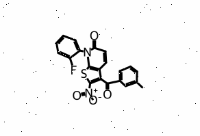 Cc1cccc(C(=O)c2c([N+](=O)[O-])sc3c2ccc(=O)n3-c2ccccc2F)c1